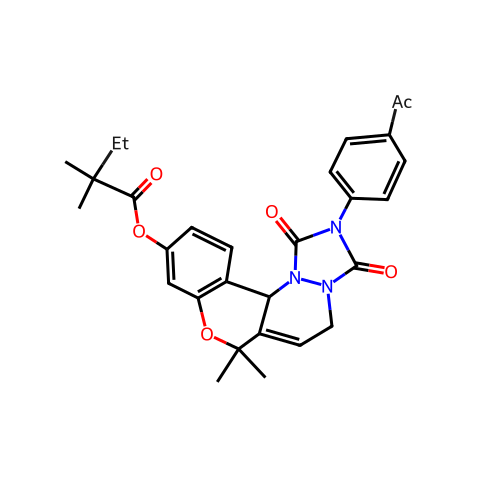 CCC(C)(C)C(=O)Oc1ccc2c(c1)OC(C)(C)C1=CCn3c(=O)n(-c4ccc(C(C)=O)cc4)c(=O)n3C12